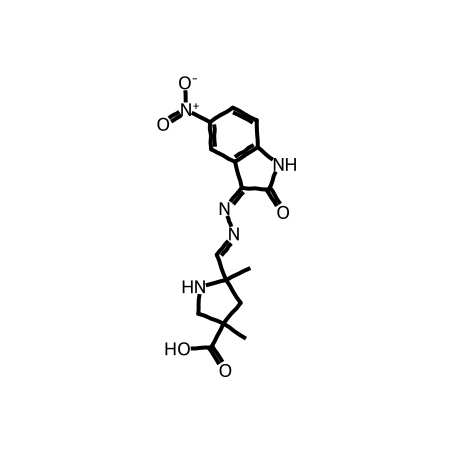 CC1(/C=N/N=C2\C(=O)Nc3ccc([N+](=O)[O-])cc32)CC(C)(C(=O)O)CN1